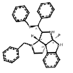 c1ccc(CN2CC[C@@]34c5ccccc5N[C@@H]3NC([C@@H](Sc3ccccc3)c3ccccc3)[C@@H]24)cc1